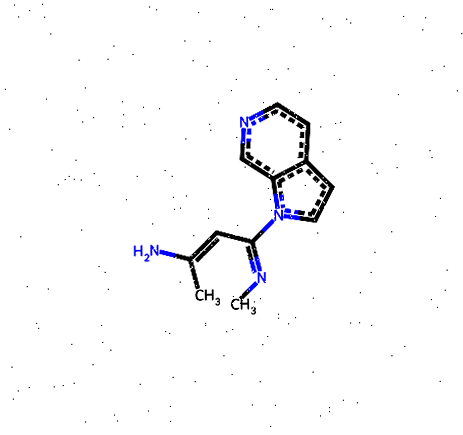 C/N=C(\C=C(/C)N)n1ccc2ccncc21